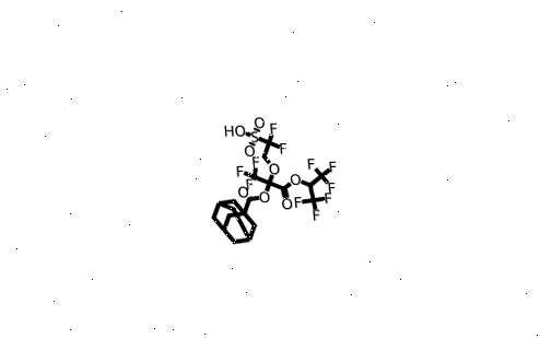 O=C(OC(OCC(F)(F)S(=O)(=O)O)(C(=O)OC(C(F)(F)F)C(F)(F)F)C(F)(F)F)C12CC3CC(CC(C3)C1)C2